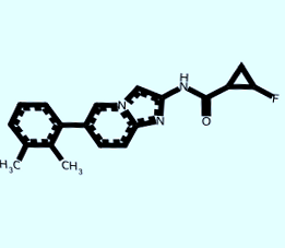 Cc1cccc(-c2ccc3nc(NC(=O)C4CC4F)cn3c2)c1C